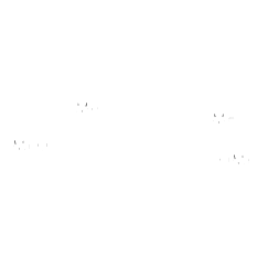 COC(CCCCCC(OC)OC)OC